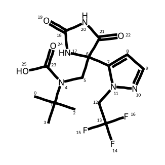 CC(C)(C)N(CC1(c2ccnn2CC(F)(F)F)NC(=O)NC1=O)C(=O)O